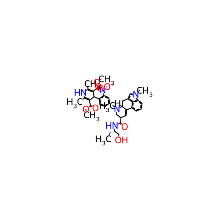 CC[C@@H](CO)NC(=O)[C@@H]1C=C2c3cccc4c3c(cn4C)C[C@H]2N(C)C1.COC(=O)C1=C(C)NC(C)=C(C(=O)OC)C1c1ccccc1[N+](=O)[O-]